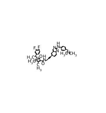 Cc1c(C(=O)NCC#Cc2ccc3nc(Nc4ccc(CN(C)C)cc4)ncc3c2)c(=O)n(C(C)c2ccc(F)c(F)c2)n1C